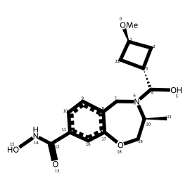 CO[C@H]1C[C@H](C(O)N2Cc3ccc(C(=O)NO)cc3OC[C@@H]2C)C1